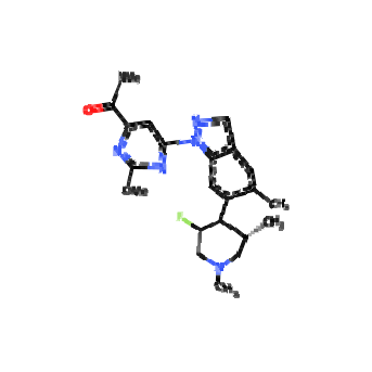 CNC(=O)c1cc(-n2ncc3cc(C)c(C4C(F)CN(C)C[C@H]4C)cc32)nc(OC)n1